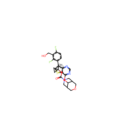 CC1(OC(=O)N2CC3COCC(C2)C3Oc2ncnc3c(-c4ccc(F)c(CO)c4F)csc23)CC1